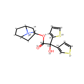 C[N+]1(C)C2CCC1CC(OC(=O)C(O)(c1ccsc1)c1cccs1)C2